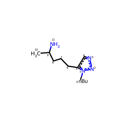 CCCCn1nncc1CCCC(C)N